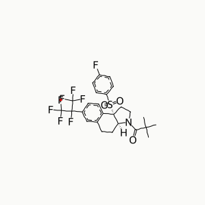 CC(C)(C)C(=O)N1CC[C@]2(S(=O)(=O)c3ccc(F)cc3)c3ccc(C(F)(C(F)(F)F)C(F)(F)F)cc3CC[C@H]12